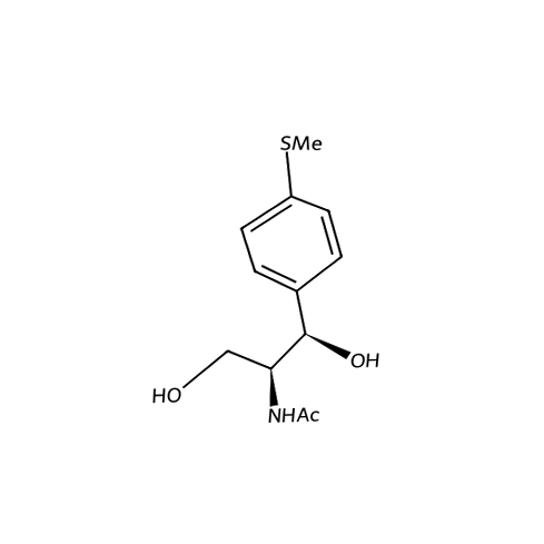 CSc1ccc([C@@H](O)[C@H](CO)NC(C)=O)cc1